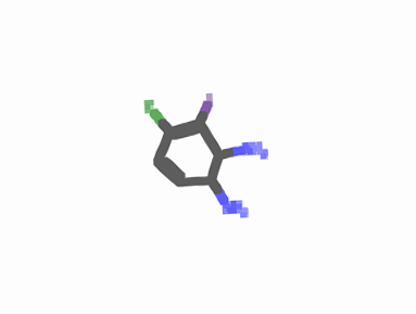 NC1C=CC(F)=C(I)C1N